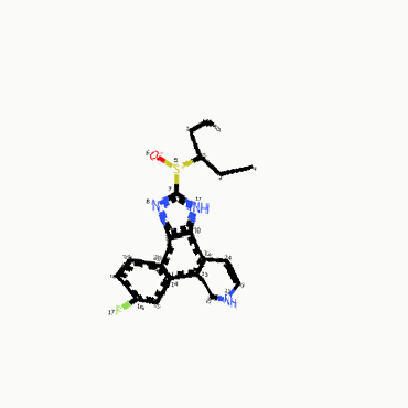 CCC(CC)[S+]([O-])c1nc2c([nH]1)c1c(c3cc(F)ccc32)CNC=C1